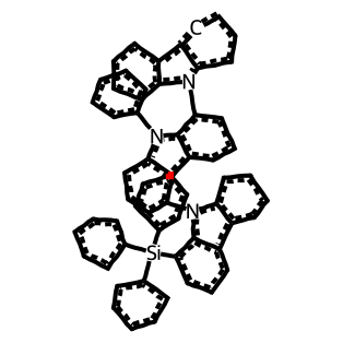 c1ccc(-n2c3cccc(-n4c5ccccc5c5cccc([Si](c6ccccc6)(c6ccccc6)c6ccccc6)c54)c3c3cccc(-n4c5ccccc5c5ccccc54)c32)cc1